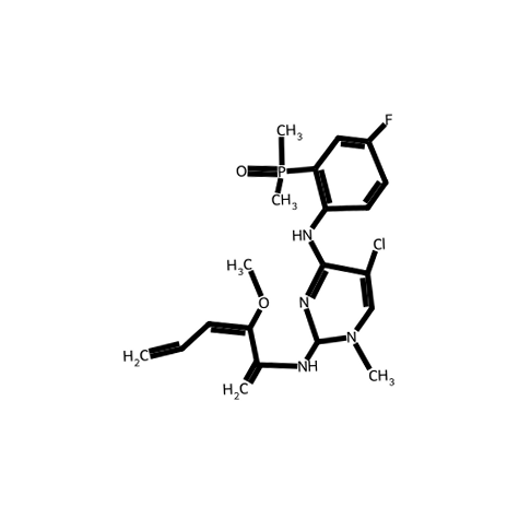 C=C/C=C(/OC)C(=C)NC1N=C(Nc2ccc(F)cc2P(C)(C)=O)C(Cl)=CN1C